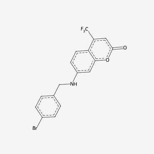 O=c1cc(C(F)(F)F)c2ccc(NCc3ccc(Br)cc3)cc2o1